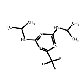 CC(C)Nc1nc(NC(C)C)nc(C(F)(F)F)n1